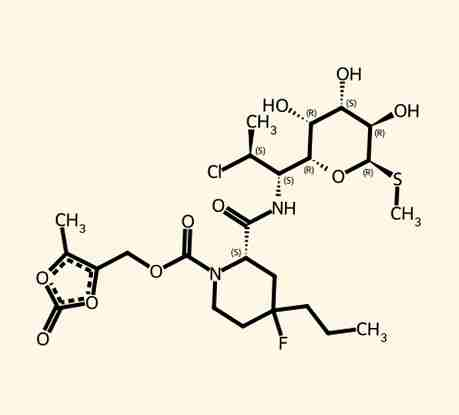 CCCC1(F)CCN(C(=O)OCc2oc(=O)oc2C)[C@H](C(=O)N[C@@H]([C@H]2O[C@H](SC)[C@H](O)[C@@H](O)[C@H]2O)[C@H](C)Cl)C1